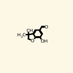 CC1(C)COc2c(O)cc(C=O)cc21